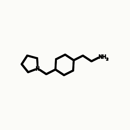 NCCC1CCC(CN2CCCC2)CC1